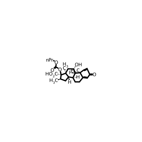 CCCOC(=O)O[C@]1(C(=O)O)[C@H](C)C[C@H]2[C@@H]3CCC4=CC(=O)C=C[C@]4(C)[C@@]3(F)[C@@H](O)C[C@@]21C